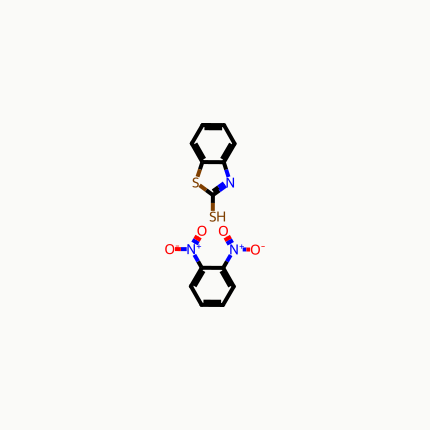 O=[N+]([O-])c1ccccc1[N+](=O)[O-].Sc1nc2ccccc2s1